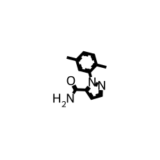 Cc1ccc(C)c(-n2nccc2C(N)=O)c1